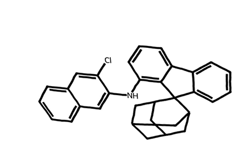 Clc1cc2ccccc2cc1Nc1cccc2c1C1(c3ccccc3-2)C2CC3CC(C2)CC1C3